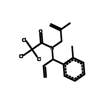 C=CC(c1ccccc1C)N(CC(=C)C)C(=O)C(Cl)(Cl)Cl